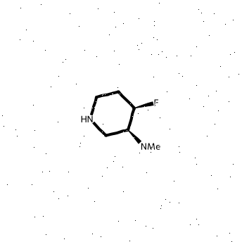 CN[C@H]1CNCC[C@H]1F